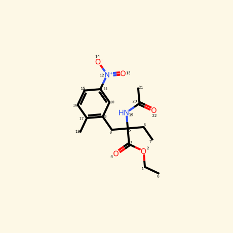 CCOC(=O)C(CC)(Cc1cc([N+](=O)[O-])ccc1C)NC(C)=O